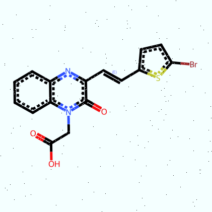 O=C(O)Cn1c(=O)c(/C=C/c2ccc(Br)s2)nc2ccccc21